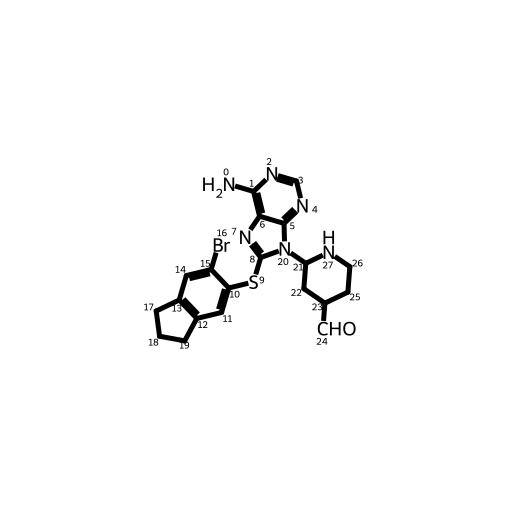 Nc1ncnc2c1nc(Sc1cc3c(cc1Br)CCC3)n2C1CC(C=O)CCN1